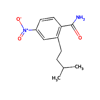 CC(C)CCc1cc([N+](=O)[O-])ccc1C(N)=O